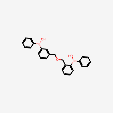 OB(c1ccccc1)c1cccc(COCc2ccccc2B(O)c2ccccc2)c1